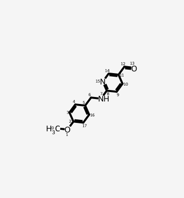 COc1ccc(CNc2ccc(C=O)cn2)cc1